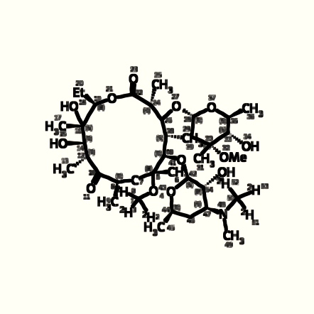 [2H]C([2H])([2H])O[C@]1(C)C[C@@H](C)C(=O)[C@H](C)[C@@H](O)[C@](C)(O)[C@@H](CC)OC(=O)[C@H](C)C(O[C@H]2C[C@@](C)(OC)[C@@H](O)[C@H](C)O2)[C@H](C)[C@H]1O[C@@H]1O[C@H](C)C[C@H](N(C)C([2H])([2H])[2H])[C@H]1O